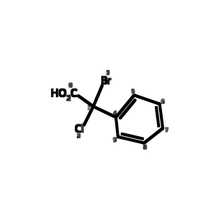 O=C(O)C(Cl)(Br)c1ccccc1